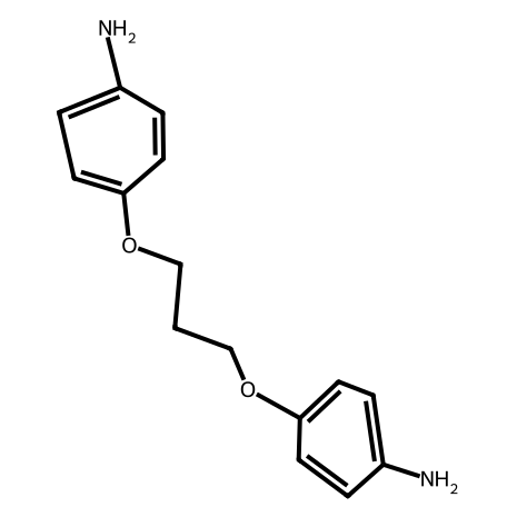 Nc1ccc(OCCCOc2ccc(N)cc2)cc1